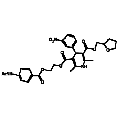 CC(=O)Nc1ccc(C(=O)OCCOC(=O)C2=C(C)NC(C)=C(C(=O)OCC3CCCO3)C2c2cccc([N+](=O)[O-])c2)cc1